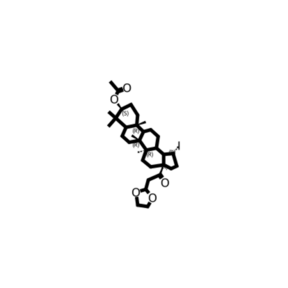 CC(=O)O[C@H]1CC[C@@]2(C)C(CC[C@]3(C)C2CCC2C4[C@H](I)CC[C@]4(C(=O)CC4OCCO4)CC[C@]23C)C1(C)C